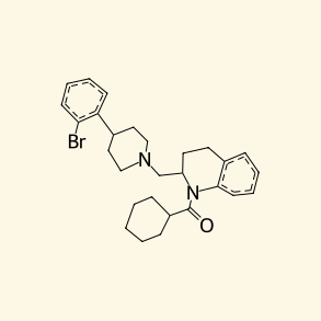 O=C(C1CCCCC1)N1c2ccccc2CCC1CN1CCC(c2ccccc2Br)CC1